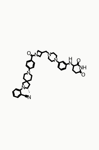 C[C@H]1CC2(CCN(c3ccc(C(=O)N4CC(CN5CCN(c6cccc(NC7CCC(=O)NC7=O)c6)CC5)C4)cc3)CC2)CN1c1ccccc1C#N